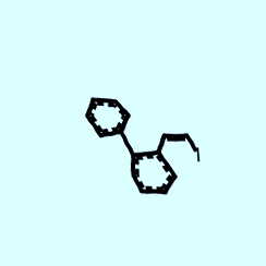 I/C=C\c1ccccc1-c1ccccc1